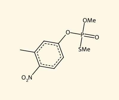 COP(=O)(Oc1ccc([N+](=O)[O-])c(C)c1)SC